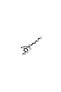 CO[C@H]1C[C@H](OC)[C@H](NC(=O)OCCCCOC=O)[C@H](C)O1